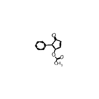 CC(=O)OC1C=CC(=O)C1c1ccccc1